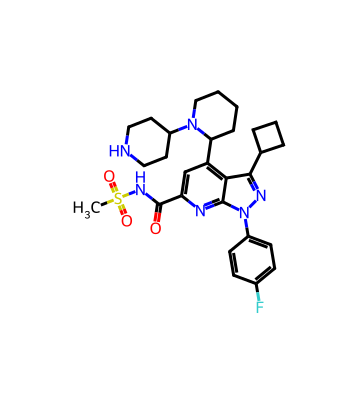 CS(=O)(=O)NC(=O)c1cc(C2CCCCN2C2CCNCC2)c2c(C3CCC3)nn(-c3ccc(F)cc3)c2n1